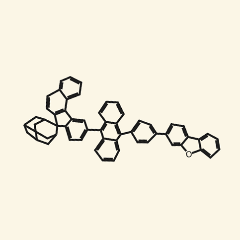 c1ccc2c3c(ccc2c1)C1(c2ccc(-c4c5ccccc5c(-c5ccc(-c6ccc7c(c6)oc6ccccc67)cc5)c5ccccc45)cc2-3)C2CC3CC(C2)CC1C3